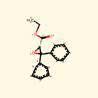 CCOC(=O)[C@H]1OC1(c1ccccc1)c1ccccc1